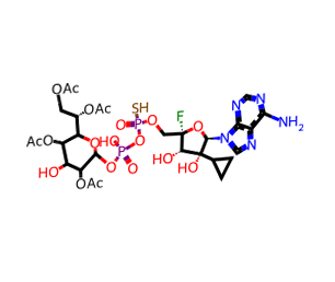 CC(=O)OC[C@H](OC(C)=O)C1OC(OP(=O)(O)OP(=O)(S)OC[C@@]2(F)O[C@@H](n3cnc4c(N)ncnc43)[C@@](O)(C3CC3)[C@@H]2O)C(OC(C)=O)C(O)C1OC(C)=O